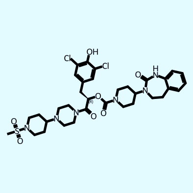 CS(=O)(=O)N1CCC(N2CCN(C(=O)[C@@H](Cc3cc(Cl)c(O)c(Cl)c3)OC(=O)N3CCC(N4CCc5ccccc5NC4=O)CC3)CC2)CC1